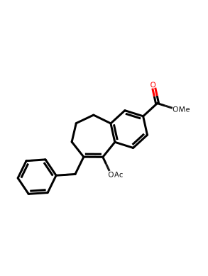 COC(=O)c1ccc2c(c1)CCCC(Cc1ccccc1)=C2OC(C)=O